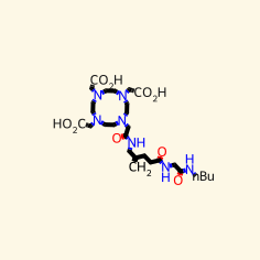 C=C(CCC(=O)NCC(=O)NCCCC)CNC(=O)CN1CCN(CC(=O)O)CCN(CC(=O)O)CCN(CC(=O)O)CC1